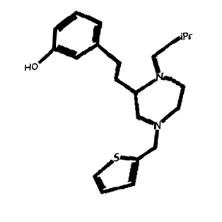 CC(C)CN1CCN(Cc2cccs2)CC1CCc1cccc(O)c1